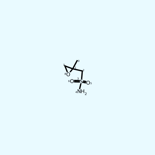 CC1(CS(N)(=O)=O)CO1